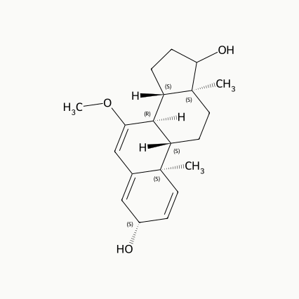 COC1=CC2=C[C@@H](O)C=C[C@]2(C)[C@H]2CC[C@]3(C)C(O)CC[C@H]3[C@H]12